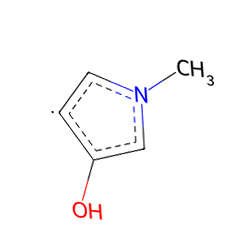 Cn1c[c]c(O)c1